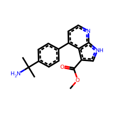 COC(=O)c1c[nH]c2nccc(-c3ccc(C(C)(C)N)cc3)c12